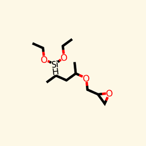 CCO[SiH](OCC)C(C)CC(C)OCC1CO1